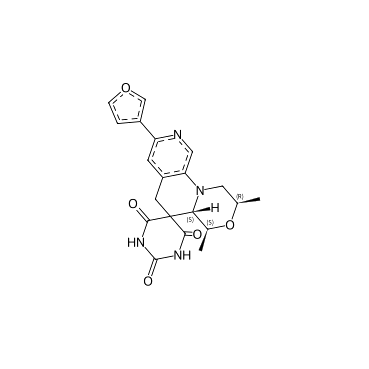 C[C@@H]1CN2c3cnc(-c4ccoc4)cc3CC3(C(=O)NC(=O)NC3=O)[C@H]2[C@H](C)O1